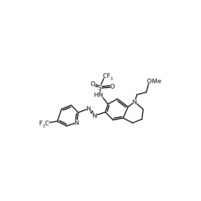 COCCN1CCCc2cc(N=Nc3ccc(C(F)(F)F)cn3)c(NS(=O)(=O)C(F)(F)F)cc21